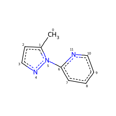 Cc1ccnn1-c1ccccn1